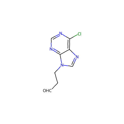 O=CCCn1cnc2c(Cl)ncnc21